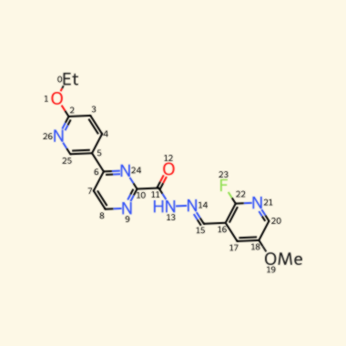 CCOc1ccc(-c2ccnc(C(=O)N/N=C/c3cc(OC)cnc3F)n2)cn1